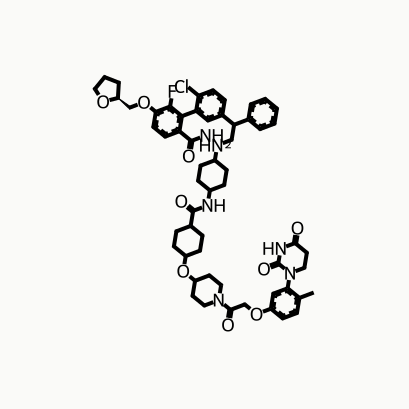 Cc1ccc(OCC(=O)N2CCC(OC3CCC(C(=O)NC4CCC(NCC(c5ccccc5)c5ccc(Cl)c(-c6c(C(N)=O)ccc(OC[C@@H]7CCCO7)c6F)c5)CC4)CC3)CC2)cc1N1CCC(=O)NC1=O